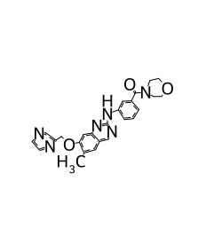 Cc1cc2cnc(Nc3cccc(C(=O)N4CCOCC4)c3)nc2cc1OCc1cnccn1